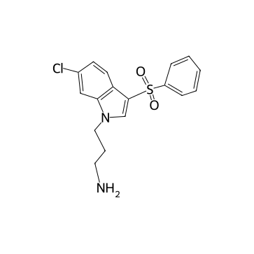 NCCCn1cc(S(=O)(=O)c2ccccc2)c2ccc(Cl)cc21